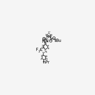 CCCc1ccc(CCc2ccc(-c3noc([C@@H]4CCCN4C(=O)OC(C)(C)C)n3)cc2C(F)(F)F)cc1